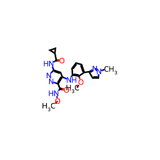 CONC(=O)c1nnc(NC(=O)C2CC2)cc1Nc1cccc(-c2ccn(C)n2)c1OC